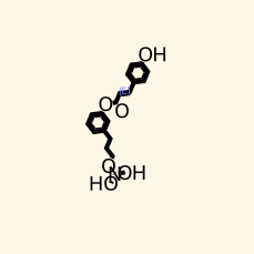 O=C(/C=C/c1ccc(O)cc1)Oc1cccc(CCCON(O)O)c1